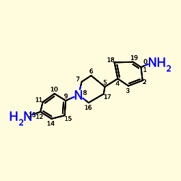 Nc1ccc(C2CCN(c3ccc(N)cc3)CC2)cc1